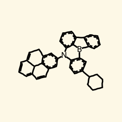 C1=CC2=CCc3cc(N4c5ccc(C6CCCCC6)cc5B5c6ccccc6-c6cccc4c65)cc4c3C2C(=C1)C=C4